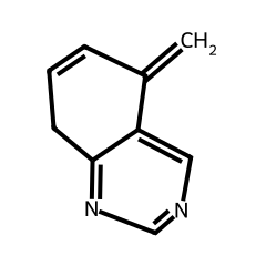 C=C1C=CCc2ncncc21